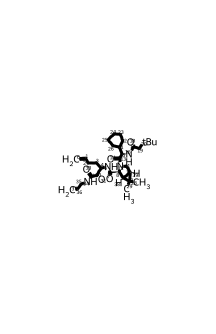 C=CCCC(NC(=O)[C@@H]1[C@H]2[C@@H](CN1C(=O)[C@@H](NC(=O)CC(C)(C)C)C1CCCCC1)C2(C)C)C(=O)C(=O)NCC=C